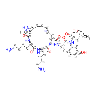 CC(C)C[C@H](NC(=O)[C@H](Cc1ccc(O)cc1)NC(=O)[C@@H]1C/C=C/CCC[C@@](C)(N)C(=O)N[C@@H](CCCCN)C(=O)N[C@@H](CCCCN)C(=O)N1)C(=O)O